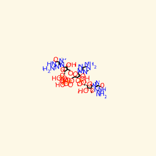 COCC1[C@@H](O)[C@H](n2c[n+](C)c3c(=O)[nH]c(N)nc32)O[C@@H]1COP(=O)(O)OP(=O)(O)OP(=O)(O)OCC1O[C@@H](N2C=NC3C(N)=NC=NC32)[C@H](OC)[C@@H]1OP(=O)(O)OC[C@H]1O[C@@H](n2cnc3c(=O)[nH]c(N)nc32)[C@H](OC)[C@@H]1O